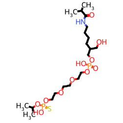 CC(C)OP(O)(=S)OCCOCCOCCOP(=O)(O)OCC(CO)CCCCNC(=O)C(C)C